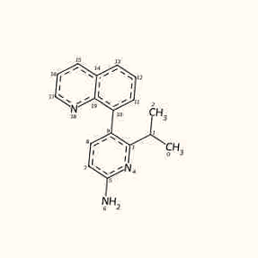 CC(C)c1nc(N)ccc1-c1cccc2cccnc12